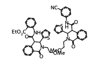 CCOC(=O)c1ccccc1NC(=O)C1c2ccccc2C(=O)N(CCOC)C1c1cccs1.COCCN1C(=O)c2ccccc2C(C(=O)Nc2cccc(C#N)c2)C1c1cccs1